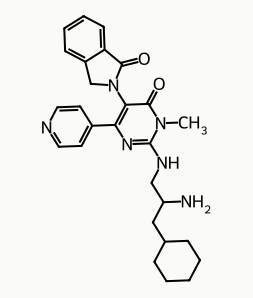 Cn1c(NCC(N)CC2CCCCC2)nc(-c2ccncc2)c(N2Cc3ccccc3C2=O)c1=O